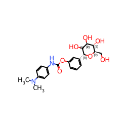 CN(C)c1ccc(NC(=O)Oc2cccc([C@H]3O[C@H](CO)[C@@H](O)[C@H](O)[C@@H]3O)c2)cc1